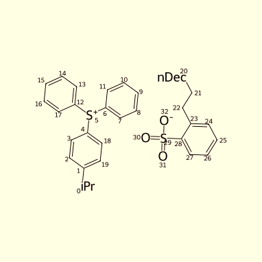 CC(C)c1ccc([S+](c2ccccc2)c2ccccc2)cc1.CCCCCCCCCCCCc1ccccc1S(=O)(=O)[O-]